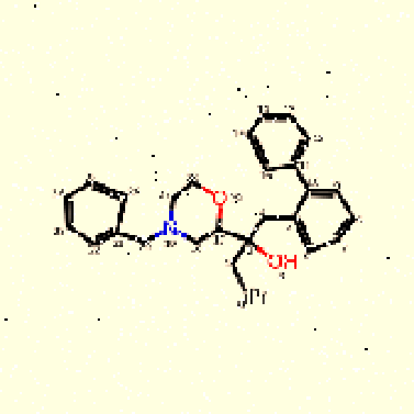 CC(C)CC(O)(Cc1ccccc1-c1ccccc1)C1CN(Cc2ccccc2)CCO1